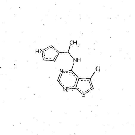 CC(Nc1ncnc2scc(Cl)c12)c1cc[nH]c1